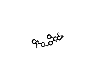 O=c1[nH]ccc2nc(-c3ccc(CN4CCC(c5nc6ccccc6[nH]5)CC4)cc3)c(-c3ccccc3)cc12